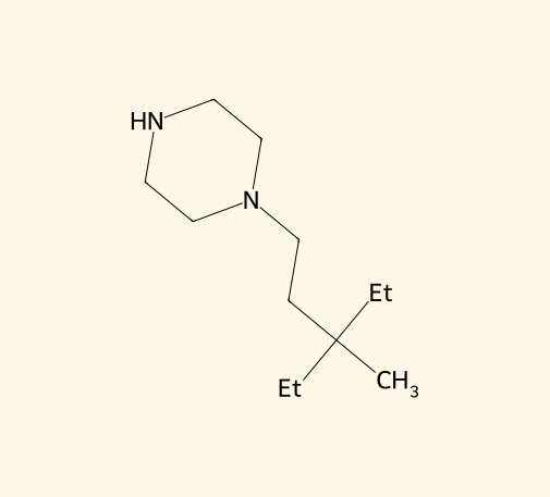 CCC(C)(CC)CCN1CCNCC1